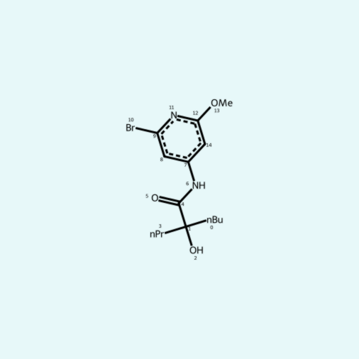 CCCCC(O)(CCC)C(=O)Nc1cc(Br)nc(OC)c1